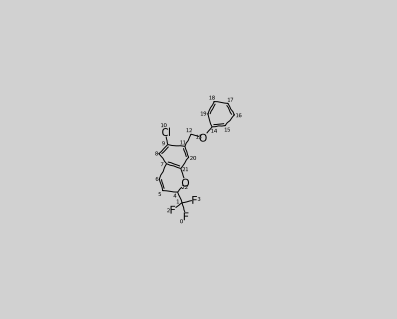 FC(F)(F)C1C=Cc2cc(Cl)c(COc3ccccc3)cc2O1